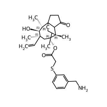 C=C[C@]1(C)C[C@@H](OC(=O)CSc2cccc(CN)c2)[C@]2(C)C(C)CCC3(CCC(=O)C32)[C@@H](C)[C@@H]1O